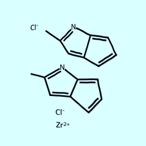 CC1=NC2=CC=CC2=C1.CC1=NC2=CC=CC2=C1.[Cl-].[Cl-].[Zr+2]